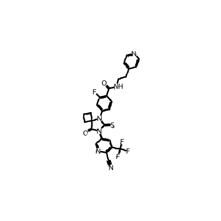 N#Cc1ncc(N2C(=O)C3(CCC3)N(c3ccc(C(=O)NCCc4ccncc4)c(F)c3)C2=S)cc1C(F)(F)F